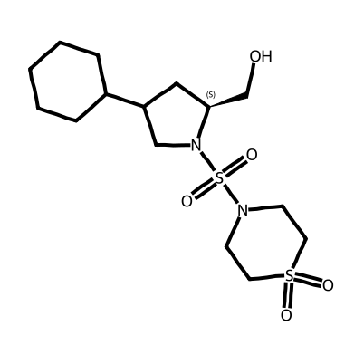 O=S1(=O)CCN(S(=O)(=O)N2CC(C3CCCCC3)C[C@H]2CO)CC1